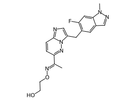 C/C(=N\OCCO)c1ccc2ncc(Cc3cc4cnn(C)c4cc3F)n2n1